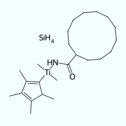 CC1=C(C)C(C)[C]([Ti]([CH3])([CH3])[NH]C(=O)C2CCCCCCCCCCC2)=C1C.[SiH4]